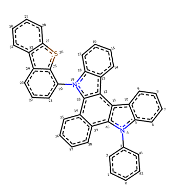 c1ccc(-n2c3ccccc3c3c4c5ccccc5n(-c5cccc6c5sc5ccccc56)c4c4ccccc4c32)cc1